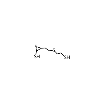 SCCSCCC1SC1S